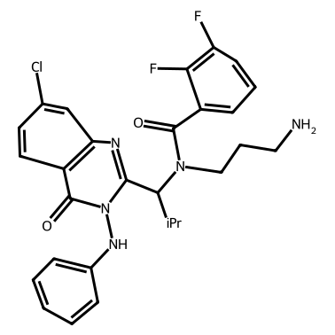 CC(C)C(c1nc2cc(Cl)ccc2c(=O)n1Nc1ccccc1)N(CCCN)C(=O)c1cccc(F)c1F